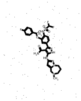 C[C@H](Oc1cc(-c2n[nH]c(Nc3cc4n(n3)CCCN(C)C4)c2C(N)=O)ccc1NS(=O)(=O)C(F)F)c1ccc(F)cc1